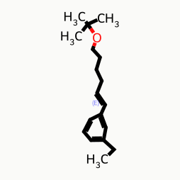 CCc1cccc(/C=C/CCCCOC(C)(C)C)c1